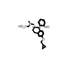 CN(CC(=O)O)C[C@H]1CCc2cc(OCC3CC3)ccc2[C@H]1c1ccccc1.Cl